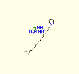 CCCCCCCCCCCCCCCC[n+]1ccccc1.N=C(N)N.[Cl-]